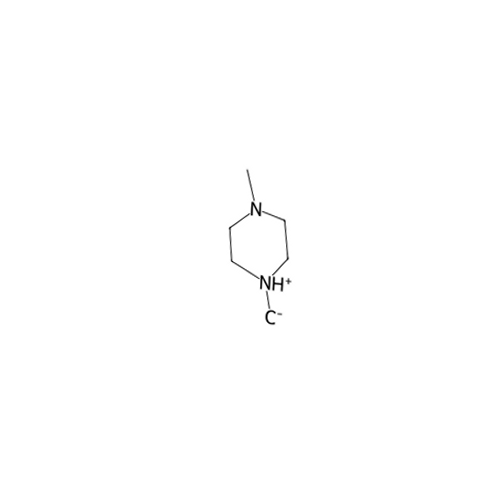 [CH2-][NH+]1CCN(C)CC1